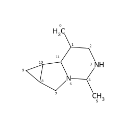 CC1CNC(C)N2CC3CC3C12